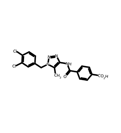 Cc1c(NC(=O)c2ccc(C(=O)O)cc2)nnn1Cc1ccc(Cl)c(Cl)c1